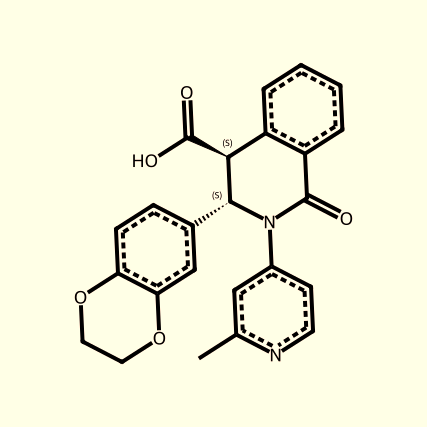 Cc1cc(N2C(=O)c3ccccc3[C@H](C(=O)O)[C@H]2c2ccc3c(c2)OCCO3)ccn1